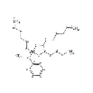 C=CCCCCCC[N+](CCCCCC)(CCCCCC)Cc1ccccc1.[Cl-]